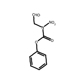 O=[C]CN(C(=O)Oc1ccccc1)[N+](=O)[O-]